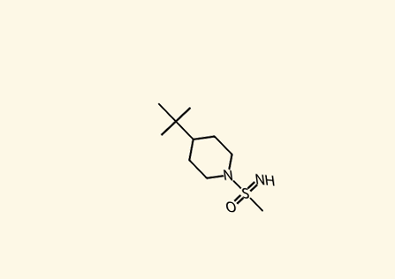 CC(C)(C)C1CCN(S(C)(=N)=O)CC1